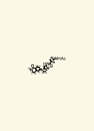 CC(=O)Nc1ncc(C(=O)Nc2cc3n(n2)CCN3c2ccc3c(c2)CCN(C)C3=O)s1